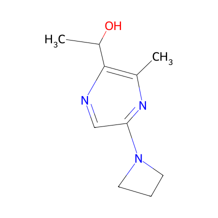 Cc1nc(N2CCC2)cnc1C(C)O